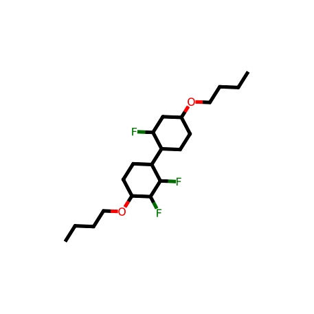 CCCCOC1CCC(C2CCC(OCCCC)C(F)C2F)C(F)C1